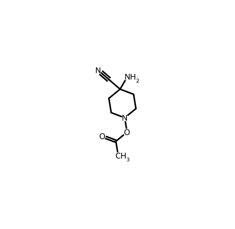 CC(=O)ON1CCC(N)(C#N)CC1